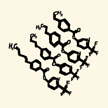 CCCCCc1ccc(C(=O)Oc2ccc(C(F)(F)F)nc2)cc1.CCCCc1ccc(C(=O)Oc2ccc(C(F)(F)F)nc2)cc1.CCCc1ccc(C(=O)Oc2ccc(C(F)(F)F)nc2)cc1.CCc1ccc(C(=O)Oc2ccc(C(F)(F)F)nc2)cc1